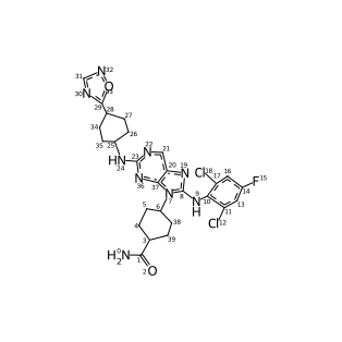 NC(=O)C1CCC(n2c(Nc3c(Cl)cc(F)cc3Cl)nc3cnc(NC4CCC(c5ncno5)CC4)nc32)CC1